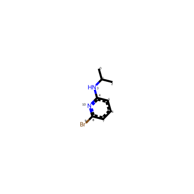 CC(C)Nc1cccc(Br)n1